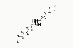 CCCCCCCCNNCCCCCCCC